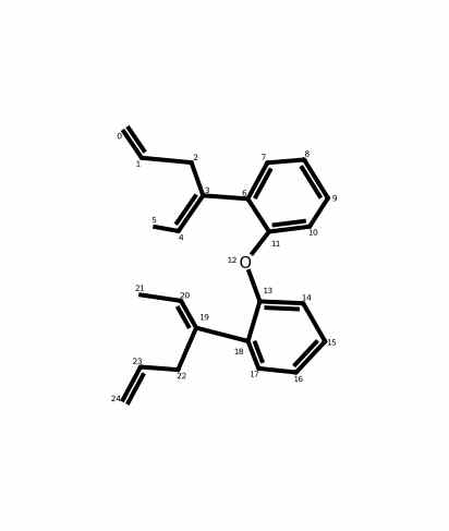 C=CCC(=CC)c1ccccc1Oc1ccccc1C(=CC)CC=C